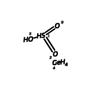 O=[SH](=O)O.[GeH4]